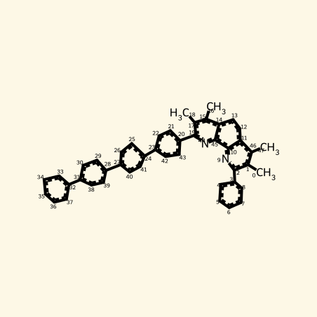 Cc1c(-c2ccccc2)nc2c(ccc3c(C)c(C)c(-c4ccc(-c5ccc(-c6ccc(-c7ccccc7)cc6)cc5)cc4)nc32)c1C